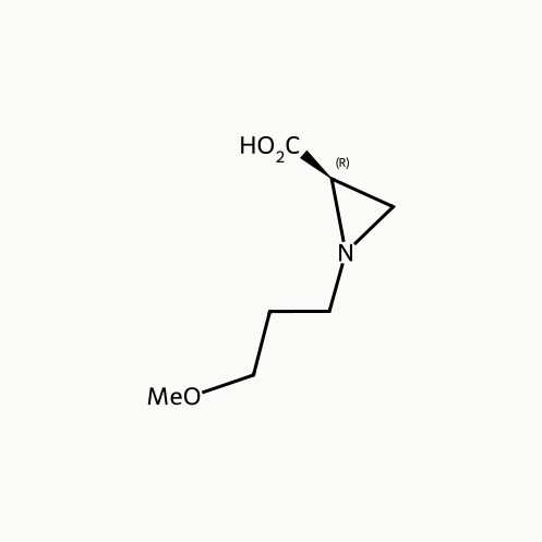 COCCCN1C[C@@H]1C(=O)O